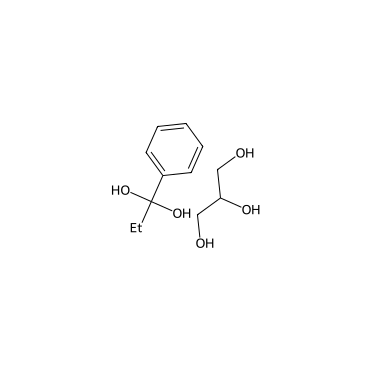 CCC(O)(O)c1ccccc1.OCC(O)CO